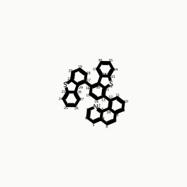 c1cnc2c(c1)ccc1cccc(-c3ccc(-c4cccc5sc6ccccc6c45)c4c3sc3ccccc34)c12